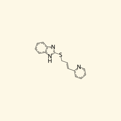 C(=Cc1ccccn1)CSc1nc2ccccc2[nH]1